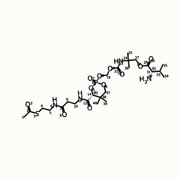 CC(=O)SCCNC(=O)CCNC(=O)[C@@H]1OP(=O)(OCOC(=O)NC(C)(C)COC(=O)[C@@H](N)C(C)C)OCC1(C)C